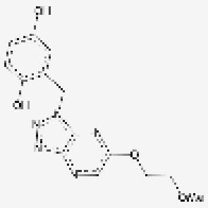 COCCOc1cnc2nnn(Cc3cc(O)ccc3O)c2n1